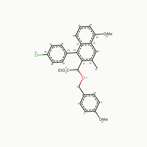 CCOC(=O)C(OCc1ccc(OC)cc1)c1c(C)cc2c(OC)cccc2c1-c1ccc(Cl)cc1